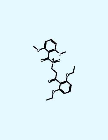 CCOc1cccc(OCC)c1C(=O)CC[PH](=O)C(=O)c1c(OC)cccc1OC